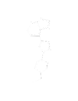 OCc1ccc(-n2cc(-c3ccnc4[nH]cnc34)cn2)nc1